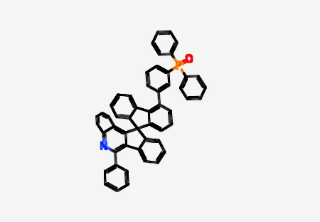 O=P(c1ccccc1)(c1ccccc1)c1cccc(-c2cccc3c2-c2ccccc2C32c3ccccc3-c3c(-c4ccccc4)nc4ccccc4c32)c1